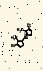 CCC1=CC[C]([Ru][C]2=C(C)C(CC)=CC2)=C1C